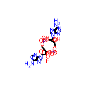 Nc1ncnc2c1ncn2C1OC2COP(=O)(O)OC3C(O)C(COP(=O)(O)OC2C1O)OC3n1cnc2c(N)ncnc21